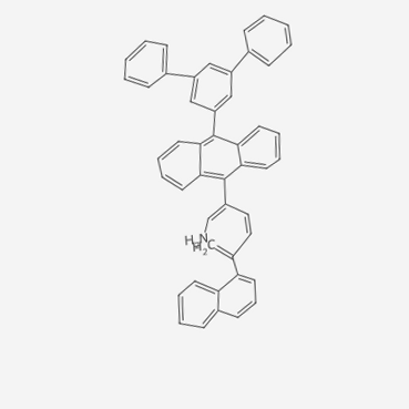 C=C(/C=C\C(=C/N)c1c2ccccc2c(-c2cc(-c3ccccc3)cc(-c3ccccc3)c2)c2ccccc12)c1cccc2ccccc12